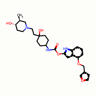 C[C@H]1CN(CCC2(O)CCC(NC(=O)Oc3cc4c(OCc5ccoc5)cccc4[nH]3)CC2)CC[C@@H]1O